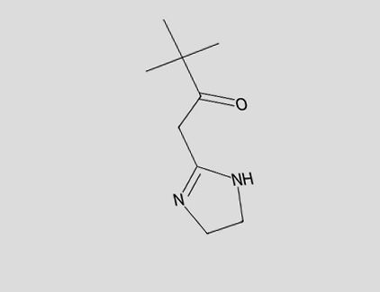 CC(C)(C)C(=O)CC1=NCCN1